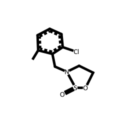 Cc1cccc(Cl)c1CN1CCOS1=O